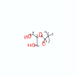 CC(C)(C)C(=O)OC(CO)CO